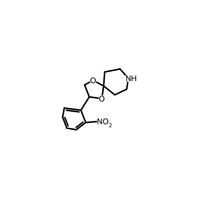 O=[N+]([O-])c1ccccc1C1COC2(CCNCC2)O1